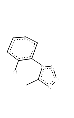 Cc1nnnn1-c1ccccc1Cl